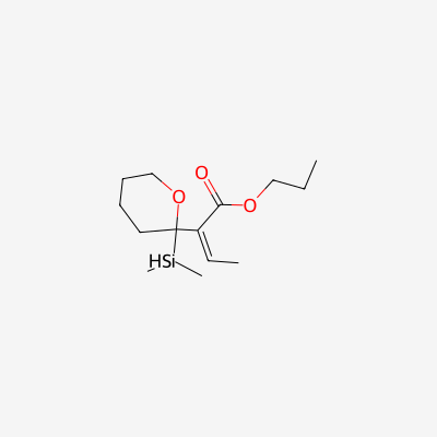 CC=C(C(=O)OCCC)C1([SiH](C)C)CCCCO1